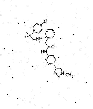 Cn1cc(-c2ccc(NC(=O)C(CNCC3(c4ccc(Cl)cc4)CC3)c3ccccc3)nc2)cn1